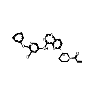 C=CC(=O)N1CCC[C@H](c2ccc3ncnc(Nc4cnc(Oc5ccccc5)c(Cl)c4)c3n2)C1